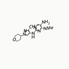 CNc1nc(Nc2cn(C3CCOCC3)nc2C)ncc1N